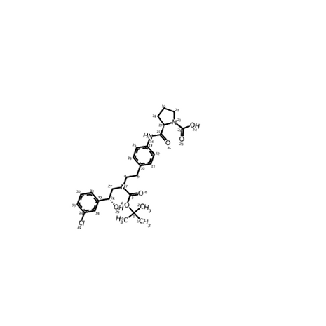 CC(C)(C)OC(=O)N(CCc1ccc(NC(=O)[C@H]2CCCN2C(=O)O)cc1)C[C@H](O)c1cccc(Cl)c1